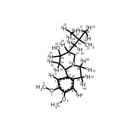 [2H]c1c(OC)c(OC)c([2H])c2c1C1N(CC([2H])(C([2H])([2H])C(C)(C([2H])([2H])[2H])C([2H])([2H])[2H])C([2H])(O)C1([2H])[2H])C([2H])([2H])C2([2H])[2H]